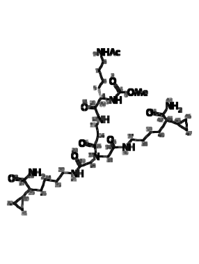 COC(=O)N[C@@H](CCCCNC(C)=O)C(=O)NCCC(=O)N(CC(=O)NCCCCC(C(N)=O)C1CC1)CC(=O)NCCCCC(C(N)=O)C1CC1